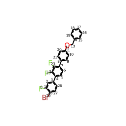 Fc1cc(-c2ccc(-c3ccc(OCc4ccccc4)cc3)c(F)c2F)ccc1Br